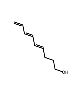 C=CC=CC=CCCCO